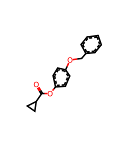 O=C(Oc1ccc(OCc2ccccc2)cc1)C1CC1